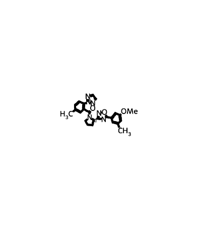 COc1cc(C)cc(-c2nc([C@@H]3CCCN3C(=O)c3cc(C)ccc3-n3nccn3)no2)c1